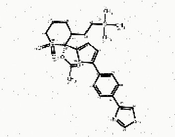 CC(=O)O[C@@]1(c2ccc(-c3ccc(-c4cscn4)cc3)s2)C(CC[Si](C)(C)C)CCCS1(=O)=O